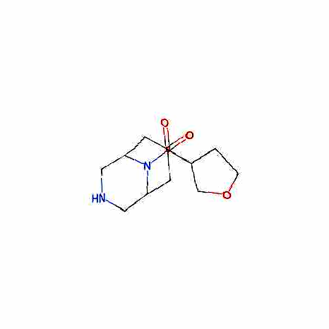 O=C1CC2CNCC(C1)N2C(=O)C1CCOC1